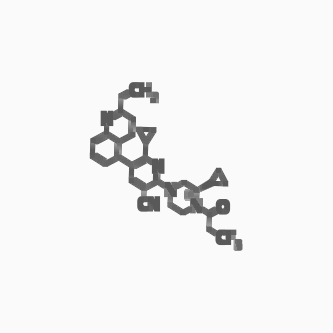 C=Cc1ccc2c(-c3cc(C#N)c(N4CCN(C(=O)CC(F)(F)F)[C@H](C5CC5)C4)nc3C3CC3)cccc2n1